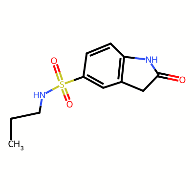 CCCNS(=O)(=O)c1ccc2c(c1)CC(=O)N2